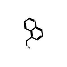 CC(C)Cc1cccc2ncccc12